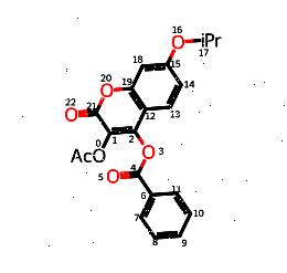 CC(=O)Oc1c(OC(=O)c2ccccc2)c2ccc(OC(C)C)cc2oc1=O